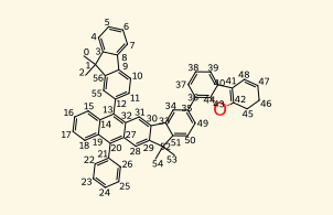 CC1(C)c2ccccc2-c2ccc(-c3c4ccccc4c(-c4ccccc4)c4cc5c(cc34)-c3cc(-c4cccc6c7c(oc46)CCC=C7)ccc3C5(C)C)cc21